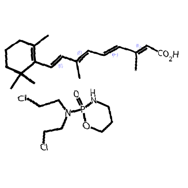 CC1=C(/C=C/C(C)=C/C=C/C(C)=C/C(=O)O)C(C)(C)CCC1.O=P1(N(CCCl)CCCl)NCCCO1